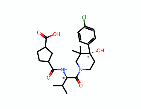 CC(C)[C@@H](NC(=O)C1CCC(C(=O)O)C1)C(=O)N1CC[C@](O)(c2ccc(Cl)cc2)C(C)(C)C1